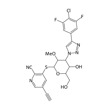 C#Cc1cnc(C#N)c(SC2OC(CO)C(O)C(n3cc(-c4cc(F)c(Cl)c(F)c4)nn3)C2OC)c1